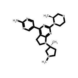 C[C@H]1COCCN1c1nc(-c2cnc(N)nc2)c2c(n1)N([C@@]1(C)CCN(C)C1)CC2